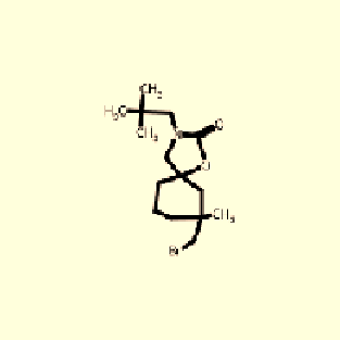 CC(C)(C)CN1CC2(CCCC(C)(CBr)C2)OC1=O